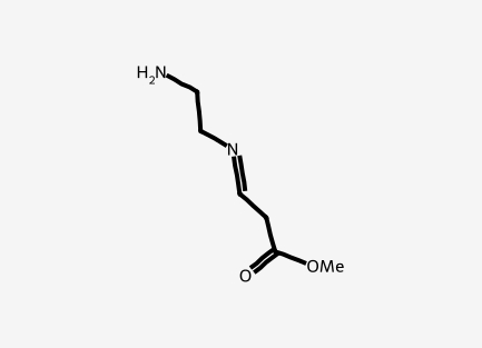 COC(=O)C/C=N/CCN